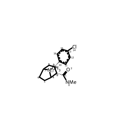 CNC(=O)[C@@H]1C2CCC(C[C@@H]1c1ccc(Cl)cc1)N2C